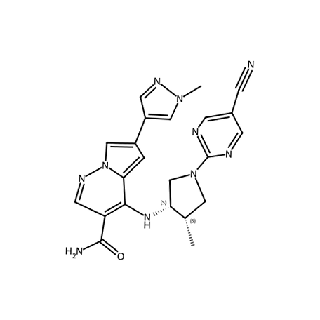 C[C@H]1CN(c2ncc(C#N)cn2)C[C@H]1Nc1c(C(N)=O)cnn2cc(-c3cnn(C)c3)cc12